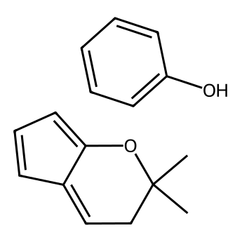 CC1(C)CC=C2C=CC=C2O1.Oc1ccccc1